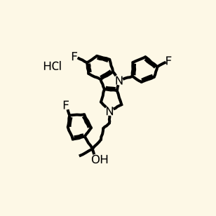 CC(O)(CCCN1Cc2c(n(-c3ccc(F)cc3)c3ccc(F)cc23)C1)c1ccc(F)cc1.Cl